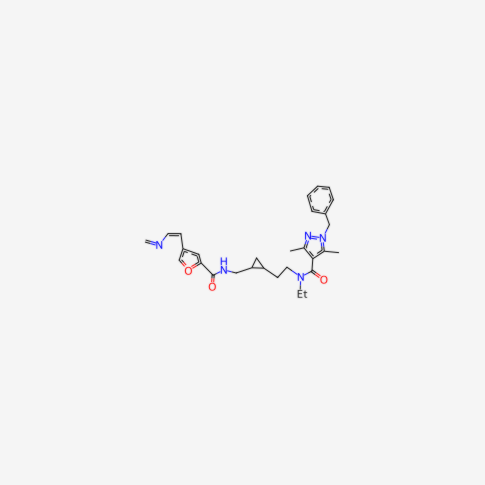 C=N/C=C\c1coc(C(=O)NCC2CC2CCN(CC)C(=O)c2c(C)nn(Cc3ccccc3)c2C)c1